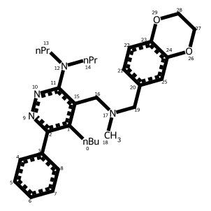 CCCCc1c(-c2ccccc2)nnc(N(CCC)CCC)c1CN(C)Cc1ccc2c(c1)OCCO2